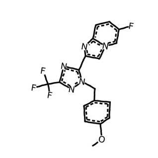 COc1ccc(Cn2nc(C(F)(F)F)nc2-c2cn3cc(F)ccc3n2)cc1